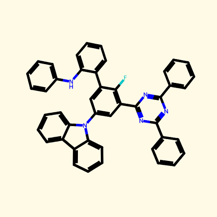 Fc1c(-c2nc(-c3ccccc3)nc(-c3ccccc3)n2)cc(-n2c3ccccc3c3ccccc32)cc1-c1ccccc1Nc1ccccc1